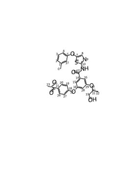 Cc1cccc(Oc2cnc(NC(=O)c3cc(Oc4ccc(S(C)(=O)=O)cc4)cc(O[C@@H](C)CO)c3)s2)c1